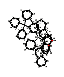 c1ccc(C2(c3ccccc3)c3ccccc3-c3ccc(N(c4ccccc4-c4cccc5oc6cc7ccccc7cc6c45)c4cccc5oc6c7ccccc7ccc6c45)cc32)cc1